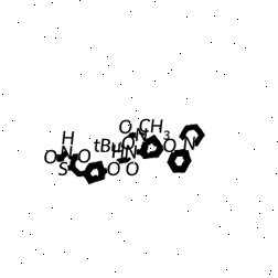 CN(C(=O)OC(C)(C)C)c1cc(Oc2ccccc2N2CCCCC2)ccc1NC(=O)COc1ccc(CC2SC(=O)NC2=O)cc1